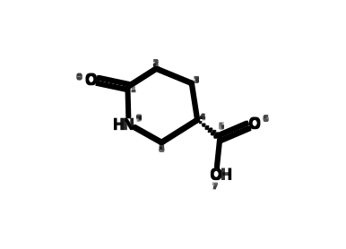 O=C1CC[C@H](C(=O)O)CN1